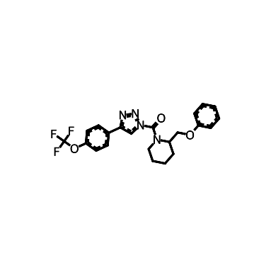 O=C(N1CCCCC1COc1ccccc1)n1cc(-c2ccc(OC(F)(F)F)cc2)nn1